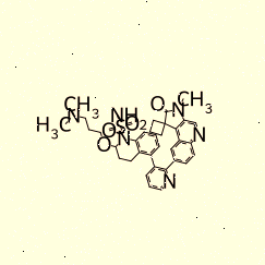 CN(C)CCCOC1CCc2c(-c3cccnc3-c3ccc4ncc5c(c4c3)C3(CCC3)C(=O)N5C)cccc2N1S(N)(=O)=O